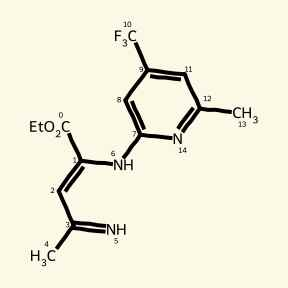 CCOC(=O)/C(=C/C(C)=N)Nc1cc(C(F)(F)F)cc(C)n1